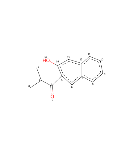 CC(C)C(=O)c1cc2ccccc2cc1O